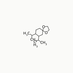 CC(C)C1CCC2(CC1C(C)C)OCCO2